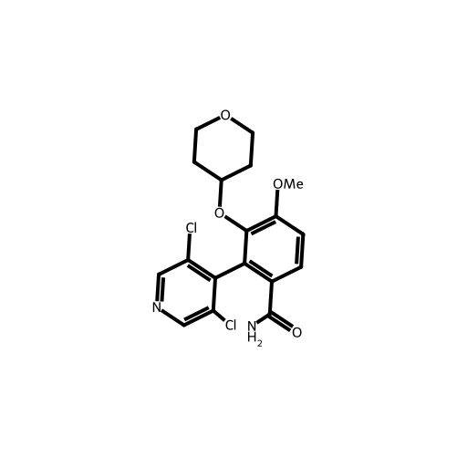 COc1ccc(C(N)=O)c(-c2c(Cl)cncc2Cl)c1OC1CCOCC1